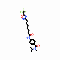 CC(C)N(C)C(=O)c1ccc(NC(=O)CCCCCCc2noc(C(F)(F)F)n2)cc1